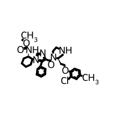 CCOC(=O)N[C@H]1CCCC[C@@H]1n1cnc(C(=O)N2CCNC[C@H]2CCOc2ccc(C)cc2Cl)c1-c1ccccc1